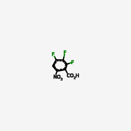 O=C(O)c1c([N+](=O)[O-])cc(F)c(F)c1F